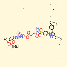 Cc1ccc(-c2cc(C(F)(F)F)nn2-c2ccc(S(=O)(=O)NC(=O)CCC(=O)OC3CN(/[N+]([O-])=N/OC(C)OC(=O)C(C)(C)C)C3)cc2)cc1